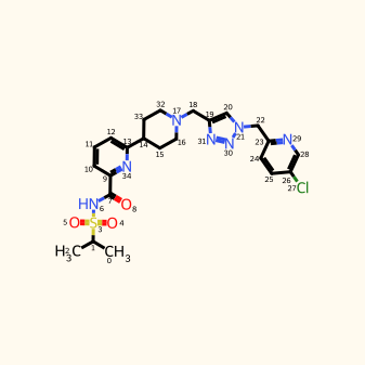 CC(C)S(=O)(=O)NC(=O)c1cccc(C2CCN(Cc3cn(Cc4ccc(Cl)cn4)nn3)CC2)n1